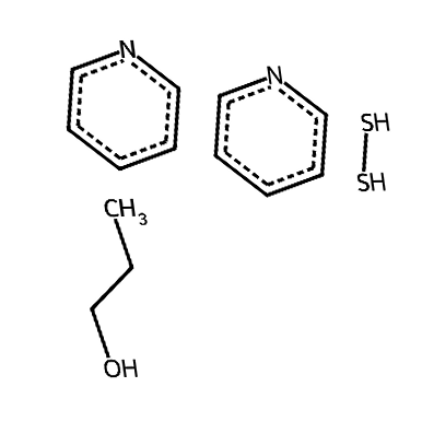 CCCO.SS.c1ccncc1.c1ccncc1